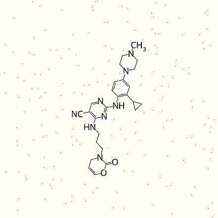 CN1CCN(c2ccc(Nc3ncc(C#N)c(NCCCN4CC=COC4=O)n3)c(C3CC3)c2)CC1